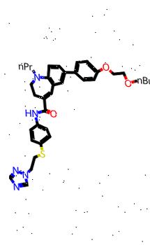 CCCCOCCOc1ccc(-c2ccc3c(c2)C=C(C(=O)Nc2ccc(SCCn4cncn4)cc2)CCN3CCC)cc1